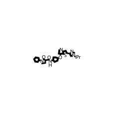 CC(C)n1cnc(-c2cc3nccc(Oc4ccc(NC(=O)C5CCN(c6ccccc6)C5=O)cc4)c3s2)c1